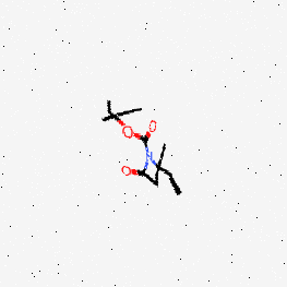 C=CC1(C)CC(=O)N1C(=O)OC(C)(C)C